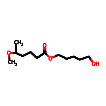 COC(C)CCCC(=O)OCCCCCO